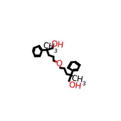 CC(CO)(CCCOCCCC(C)(CO)c1ccccc1)c1ccccc1